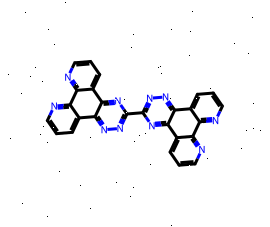 c1cnc2c(c1)c1nnc(-c3nnc4c5cccnc5c5ncccc5c4n3)nc1c1cccnc12